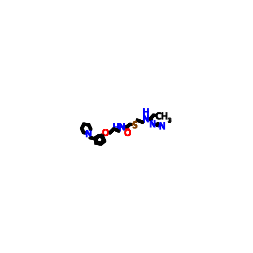 CCC(=NC#N)NCCSCC(=O)NCCCOc1cccc(CN2CCCCC2)c1